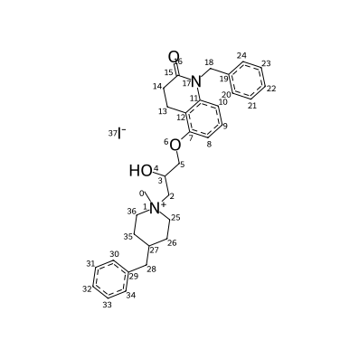 C[N+]1(CC(O)COc2cccc3c2CCC(=O)N3Cc2ccccc2)CCC(Cc2ccccc2)CC1.[I-]